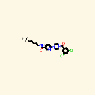 CCCCCCNC(=O)c1ccc(N2CCN(C(=O)c3cc(Cl)cc(Cl)c3)CC2)nc1